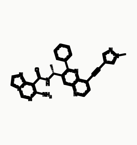 C[C@@H](NC(=O)c1c(N)ncn2ccnc12)c1cc2nccc(C#Cc3cnn(C)c3)c2nc1-c1ccccc1